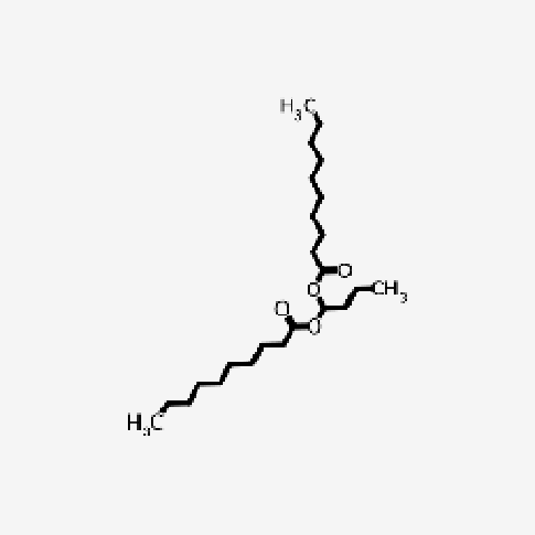 CCCCCCCCCC(=O)OC(CCC)OC(=O)CCCCCCCCC